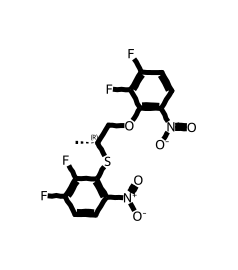 C[C@H](COc1c([N+](=O)[O-])ccc(F)c1F)Sc1c([N+](=O)[O-])ccc(F)c1F